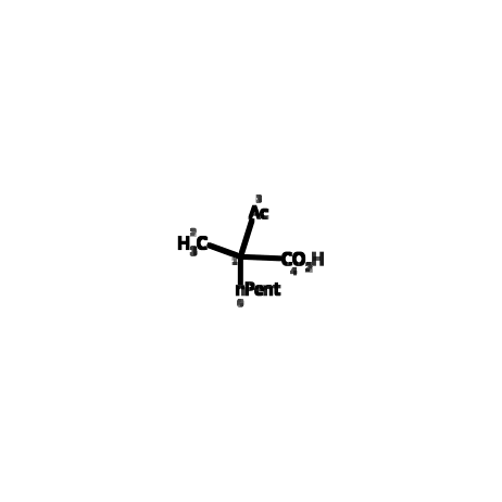 CCCCCC(C)(C(C)=O)C(=O)O